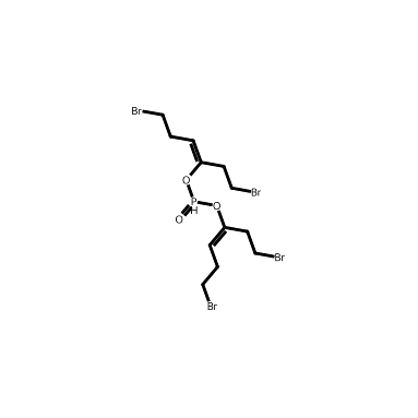 O=[PH](OC(=CCCBr)CCBr)OC(=CCCBr)CCBr